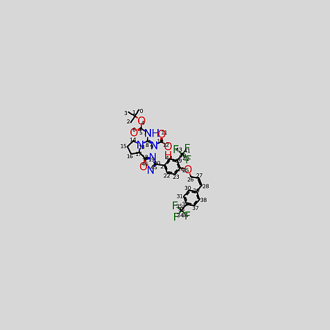 CC(C)(C)OC(=O)NC(=NC(=O)O)N1CCCC1c1nc(-c2ccc(OC/C=C\c3ccc(C(F)(F)F)cc3)c(C(F)(F)F)c2)no1